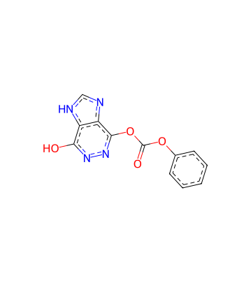 O=C(Oc1ccccc1)Oc1nnc(O)c2[nH]cnc12